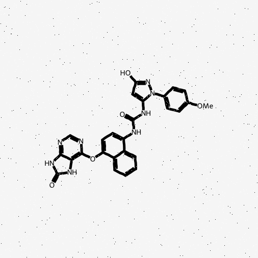 COc1ccc(-n2nc(O)cc2NC(=O)Nc2ccc(Oc3ncnc4[nH]c(=O)[nH]c34)c3ccccc23)cc1